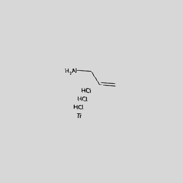 C=C[CH2][AlH2].Cl.Cl.Cl.[Ti]